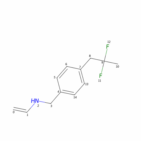 C=CNCc1ccc(CC(C)(F)F)cc1